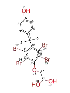 CC(C)(c1ccc(O)cc1)c1c(Br)c(Br)c(OCC(O)O)c(Br)c1Br